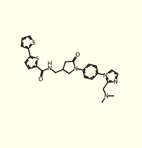 CN(C)Cc1nccn1-c1ccc(N2CC(CNC(=O)c3ccc(-c4cccs4)s3)CC2=O)cc1